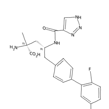 C[C@](N)(C[C@@H](Cc1ccc(-c2cc(Cl)ccc2F)cc1)NC(=O)c1c[nH]nn1)C(=O)O